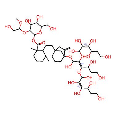 C=C1CC23CCC4C(C)(C(=O)OC5OC(CO)C(O)C(O)C5OC(CO)OC)CCCC4(C)C2CCC1(OC(O)/C(OC(O)/C(O)=C(/O)C(O)CCO)=C(\OC(O)/C(O)=C(/O)C(O)CCO)C(O)CCO)C3